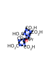 CC(C)[C@@H](CN1CCN(CC(=O)O)CCN(CC(=O)O)CCN(CC(=O)O)CC1)NC(=O)CN1CCN(CC(=O)O)CCN(CC(=O)O)CCN(CC(=O)O)CC1